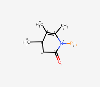 CC1=C(C)N(P)C(=O)CC1C